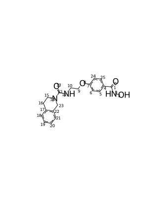 O=C(NO)c1ccc(OCCNC(=O)N2CCc3ccccc3C2)cc1